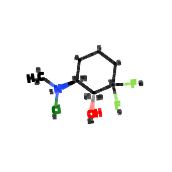 CN(Cl)[C@H]1CCCC(F)(F)[C@@H]1O